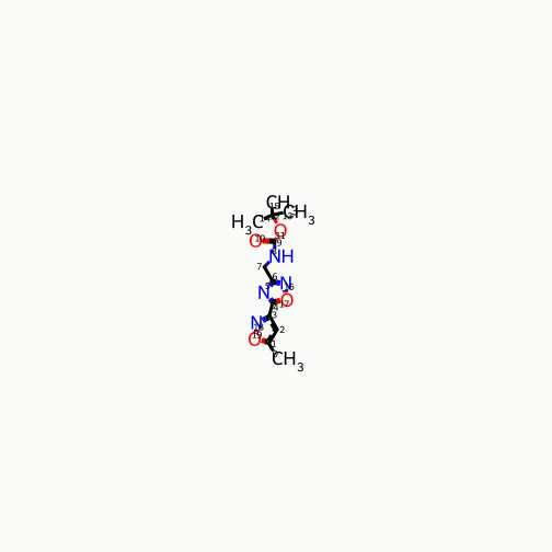 Cc1cc(-c2nc(CNC(=O)OC(C)(C)C)no2)no1